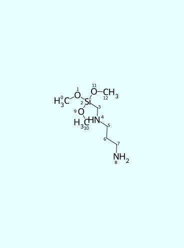 CO[Si](CNCCCN)(OC)OC